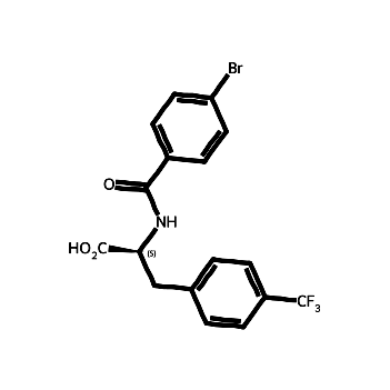 O=C(N[C@@H](Cc1ccc(C(F)(F)F)cc1)C(=O)O)c1ccc(Br)cc1